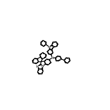 c1ccc(-c2ccc(N(c3ccc4c(c3)C3(c5ccccc5-c5ccccc53)c3nc5ccccc5n3-4)c3ccc4c(c3)c3ccccc3n4-c3ccccc3)cc2)cc1